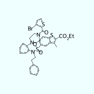 CCOC(=O)c1sc2ccc(S(=O)(=O)N(CCc3ccccc3)c3ccccc3N3CCN(C(=O)c4sccc4Br)CC3)cc2c1C